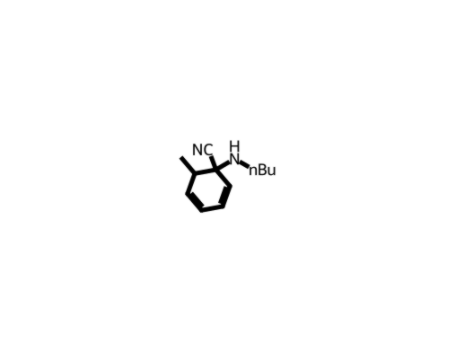 CCCCNC1(C#N)C=CC=CC1C